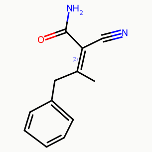 C/C(Cc1ccccc1)=C(\C#N)C(N)=O